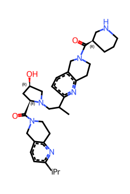 CC(C)c1ccc2c(n1)CCN(C(=O)[C@H]1C[C@@H](O)CN1CC(C)c1ccc3c(n1)CCN(C(=O)[C@@H]1CCCNC1)C3)C2